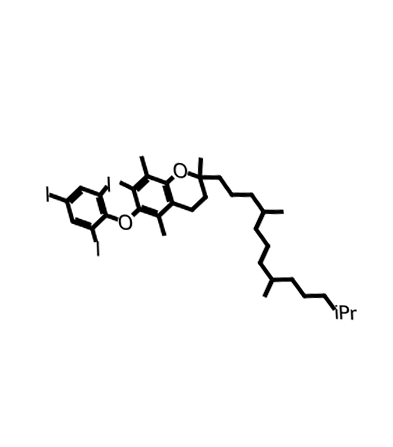 Cc1c(C)c2c(c(C)c1Oc1c(I)cc(I)cc1I)CCC(C)(CCCC(C)CCCC(C)CCCC(C)C)O2